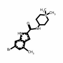 Cc1cc(Br)cc2[nH]c(C(=O)NC3CCS(C)(C)CC3)cc12